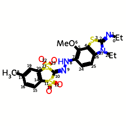 CC/N=c1/sc2c(OC)c(N/N=C3/S(=O)(=O)c4ccc(C)cc4S3(=O)=O)ccc2n1CC